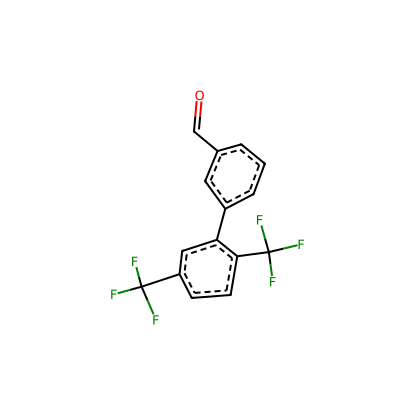 O=Cc1cccc(-c2cc(C(F)(F)F)ccc2C(F)(F)F)c1